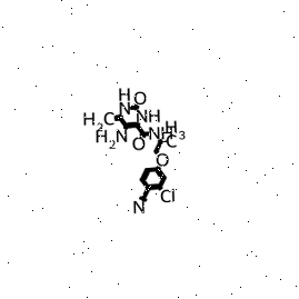 C=C1NC(=O)NC(C(=O)N[C@H](C)COc2ccc(C#N)c(Cl)c2)=C1N